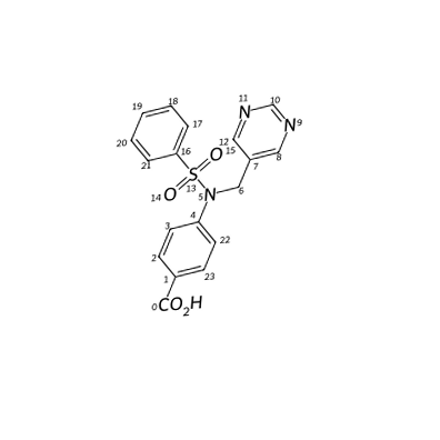 O=C(O)c1ccc(N(Cc2cncnc2)S(=O)(=O)c2ccccc2)cc1